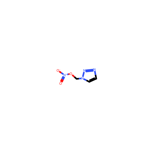 O=[N+]([O-])OCn1ccnn1